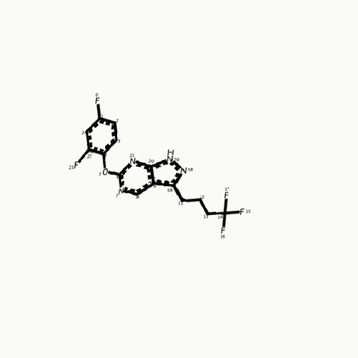 Fc1ccc(Oc2ncc3c(CCCC(F)(F)F)n[nH]c3n2)c(F)c1